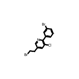 Clc1cc(CCBr)cnc1-c1c[c]cc(Br)c1